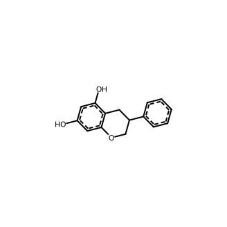 Oc1cc(O)c2c(c1)OCC(c1ccccc1)C2